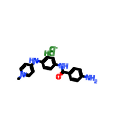 C[n+]1ccc(Nc2ccc(NC(=O)c3ccc(N)cc3)cc2)cc1.Cl.[Cl-]